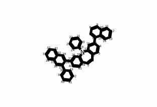 C1=Cc2ccc(-c3cccc4ccccc34)cc2N(c2ccccc2)c2cc(-c3cc4ccccc4cc3-c3ccccc3)ccc21